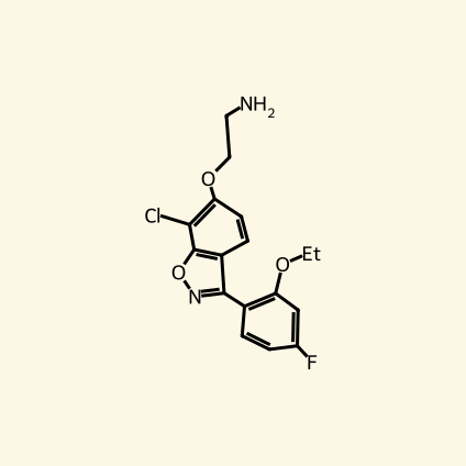 CCOc1cc(F)ccc1-c1noc2c(Cl)c(OCCN)ccc12